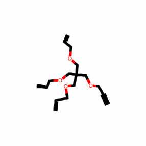 C#CCOCC(COCC=C)(COCC=C)COCC=C